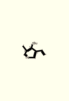 C=Cc1cncc(C)c1C(C)(C)C